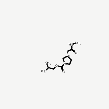 CC(C)COC(=O)N1CC[C@@H](CC(=O)NN)C1